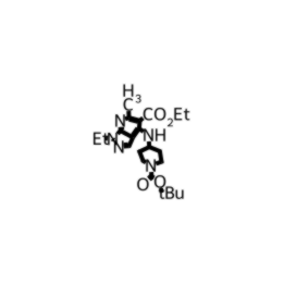 CCOC(=O)c1c(C)nc2c(cnn2CC)c1NC1CCN(C(=O)OC(C)(C)C)CC1